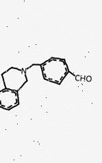 O=Cc1ccc(CN2CCc3ccccc3C2)cc1